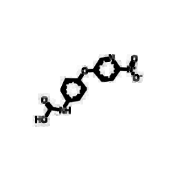 O=C(O)Nc1ccc(Oc2ccc([N+](=O)[O-])nc2)cc1